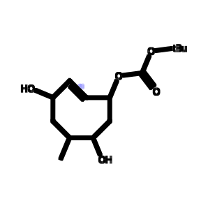 CC1CC(O)/C=C/C(OC(=O)OC(C)(C)C)CC1O